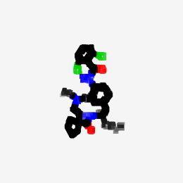 CC(=O)N(C)CCC1(C(=O)N[C@@H](Cc2ccc(NC(=O)c3c(Cl)cccc3Cl)cc2)C(=O)O)CCCC1